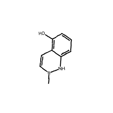 CB1C=Cc2c(O)cccc2N1